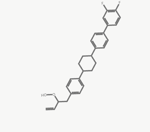 C=CC(Cc1ccc(C2CCC(c3ccc(-c4ccc(F)c(F)c4)cc3)CC2)cc1)OO